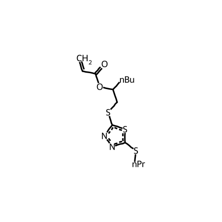 C=CC(=O)OC(CCCC)CSc1nnc(SCCC)s1